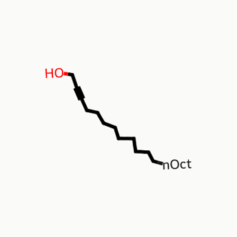 CCCCCCCCCCCCCCCCCC#CCO